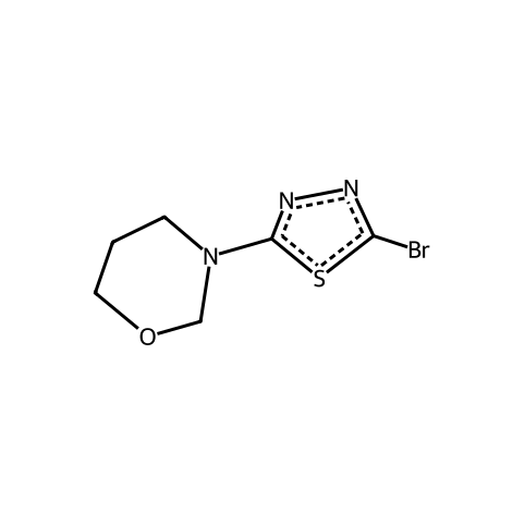 Brc1nnc(N2CCCOC2)s1